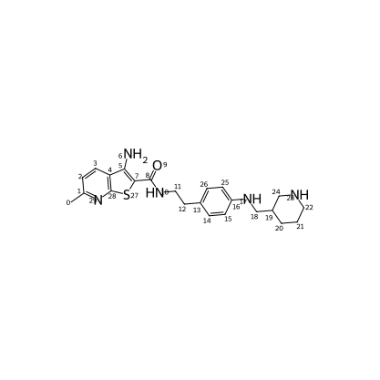 Cc1ccc2c(N)c(C(=O)NCCc3ccc(NCC4CCCNC4)cc3)sc2n1